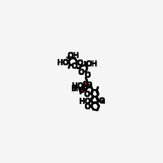 COc1c2c(c(O)c3c4c(c(C)cc13)C1OC[C@](O)(CBr)[C@](OC)(O4)C1OCCOC1CC(C)(O)C(OC3CC(C)(O)C(O)C(C)O3)C(C)O1)C(=O)CCC2